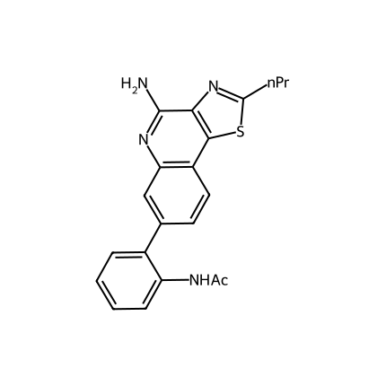 CCCc1nc2c(N)nc3cc(-c4ccccc4NC(C)=O)ccc3c2s1